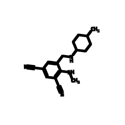 CNc1c(C#N)cc(C#N)cc1CNC1CCC(C)CC1